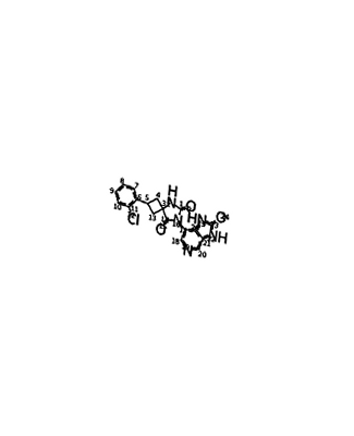 O=C1NC2(CC(c3ccccc3Cl)C2)C(=O)N1c1cncc2[nH]c(=O)[nH]c12